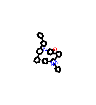 C1=C(c2ccccc2)CCc2c1n(-c1ccc3c(c1)oc1cccc(-c4cc(-c5ccccc5)nc(-c5ccccc5)n4)c13)c1ccc(-c3ccccc3)cc21